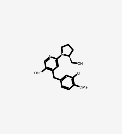 COc1ccc(Cc2cc(N3CCC[C@H]3CO)ncc2C=O)cc1Cl